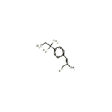 CCC(C)(C)c1ccc(C=C(C)CBr)cc1